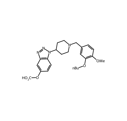 CCCCOc1cc(CN2CCC(n3nnc4cc(OC(=O)O)ccc43)CC2)ccc1OC